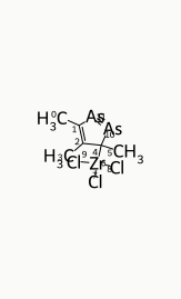 CC1=C(C)[C](C)([Zr]([Cl])([Cl])[Cl])[As]=[As]1